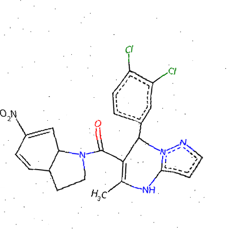 CC1=C(C(=O)N2CCC3C=CC([N+](=O)[O-])=CC32)C(c2ccc(Cl)c(Cl)c2)n2nccc2N1